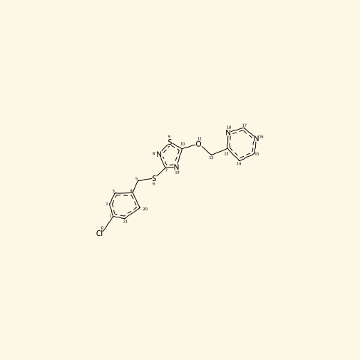 Clc1ccc(CSc2nsc(OCc3ccncn3)n2)cc1